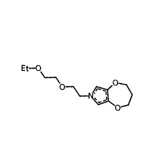 CCOCCOCCn1cc2c(c1)OCCCO2